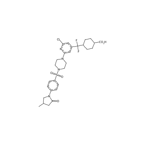 CC1CC(=O)N(c2ccc(S(=O)(=O)N3CCN(c4cc(C(F)(F)C5CCC(C(=O)O)CC5)cc(Cl)n4)CC3)cc2)C1